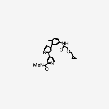 CNC(=O)c1cc(-c2cc(-c3cc(NC(=O)COCC4CC4)ccc3C)ccn2)ccn1